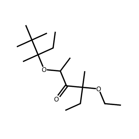 CCOC(C)(CC)C(=O)C(C)OC(C)(CC)C(C)(C)C